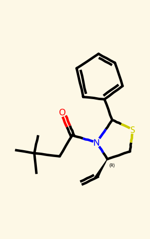 C=C[C@@H]1CSC(c2ccccc2)N1C(=O)CC(C)(C)C